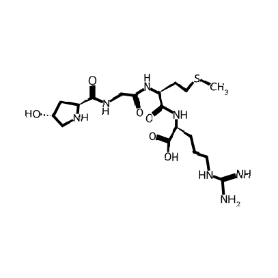 CSCC[C@H](NC(=O)CNC(=O)[C@@H]1C[C@@H](O)CN1)C(=O)N[C@@H](CCCNC(=N)N)C(=O)O